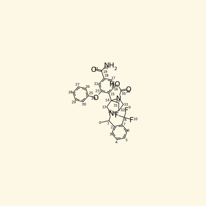 CC(c1ccccc1C(F)(F)F)N1CC2(c3ccc(C(N)=O)cc3Oc3ccccc3)CC1CN2C(=O)O